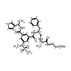 COCCNC(=O)[C@H](C)NC[C@H](Cc1ccccc1)NC(=O)c1cc(C(=O)NC(C)c2ccsc2)cc(N(C)S(C)(=O)=O)c1